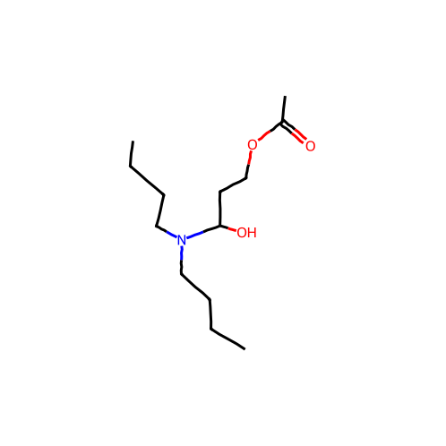 CCCCN(CCCC)C(O)CCOC(C)=O